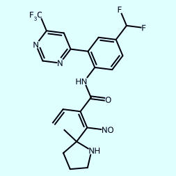 C=C/C(C(=O)Nc1ccc(C(F)F)cc1-c1cc(C(F)(F)F)ncn1)=C(/N=O)C1(C)CCCN1